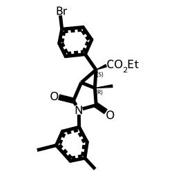 CCOC(=O)[C@]1(c2ccc(Br)cc2)C2C(=O)N(c3cc(C)cc(C)c3)C(=O)[C@]21C